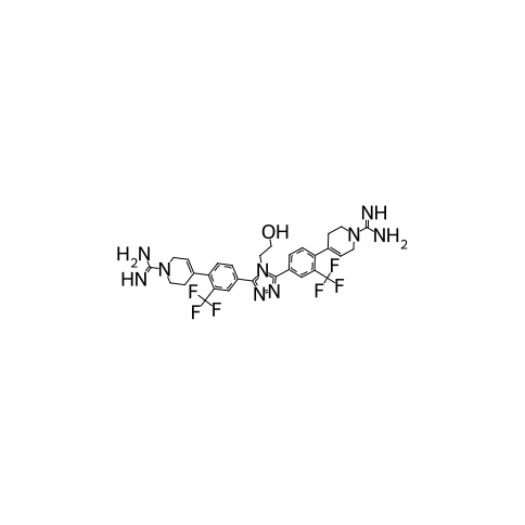 N=C(N)N1CC=C(c2ccc(-c3nnc(-c4ccc(C5=CCN(C(=N)N)CC5)c(C(F)(F)F)c4)n3CCO)cc2C(F)(F)F)CC1